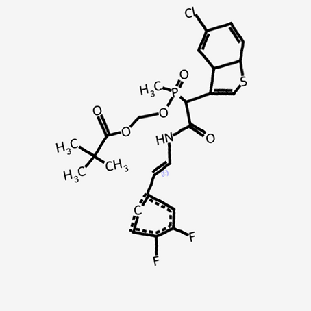 CC(C)(C)C(=O)OCOP(C)(=O)C(C(=O)N/C=C/c1ccc(F)c(F)c1)C1=CSC2C=CC(Cl)=CC12